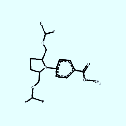 COC(=O)c1ccc(N2C(COC(F)F)CCC2COC(F)F)cc1